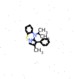 Cc1cn2c(c1-c1ccccc1)N(C(C)C)c1ccccc1S2